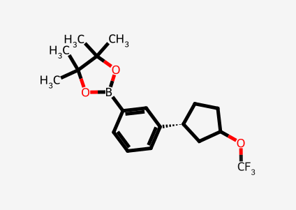 CC1(C)OB(c2cccc([C@@H]3CCC(OC(F)(F)F)C3)c2)OC1(C)C